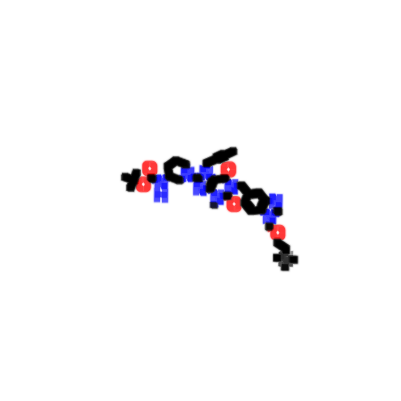 CC#CCn1c(N2CCCC(NC(=O)OC(C)(C)C)C2)nc2c1c(=O)n(Cc1ccc3c(c1)ncn3COCC[Si](C)(C)C)c(=O)n2C